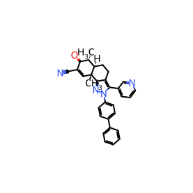 C[C@H]1C(=O)C(C#N)=C[C@@]2(C)c3nn(-c4ccc(-c5ccccc5)cc4)c(-c4cccnc4)c3CC[C@H]12